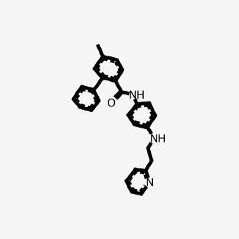 Cc1ccc(C(=O)Nc2ccc(NCCc3ccccn3)cc2)c(-c2ccccc2)c1